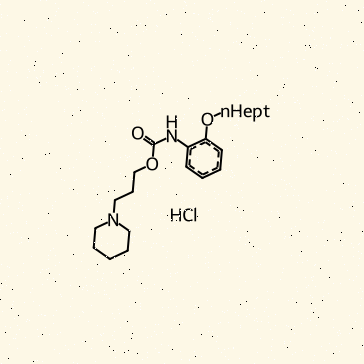 CCCCCCCOc1ccccc1NC(=O)OCCCN1CCCCC1.Cl